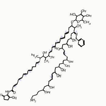 CC(/C=C/CC/C=C/C=C/C=C/C=C/C(=O)NC1=C(O)CCC1=O)C(O)C(C)C(O)/C=C/C=C/C=C/C=C/C=C/CC(OC1OC(C)C(O)C(O)C1O)C(C)/C(CC(O)CC(O)CC(O)/C=C/CC(O)CC(O)CC(O)CC(O)/C=C/CC(O)CC(O)CCCN)=N/Cc1ccccc1